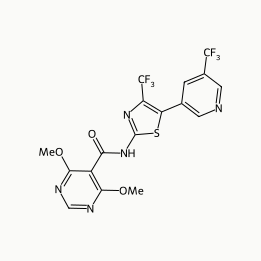 COc1ncnc(OC)c1C(=O)Nc1nc(C(F)(F)F)c(-c2cncc(C(F)(F)F)c2)s1